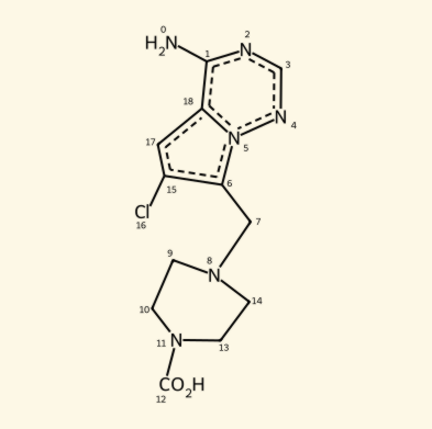 Nc1ncnn2c(CN3CCN(C(=O)O)CC3)c(Cl)cc12